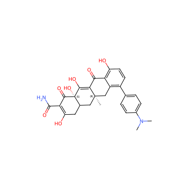 CN(C)c1ccc(-c2ccc(O)c3c2C[C@@]2(C)CC4CC(O)=C(C(N)=O)C(=O)[C@@]4(O)C(O)=C2C3=O)cc1